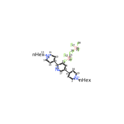 CCCCCC[n+]1ccc(-c2ccc(-c3cc[n+](CCCCCC)cc3)nc2)cc1.F[B-](F)(F)F.F[B-](F)(F)F